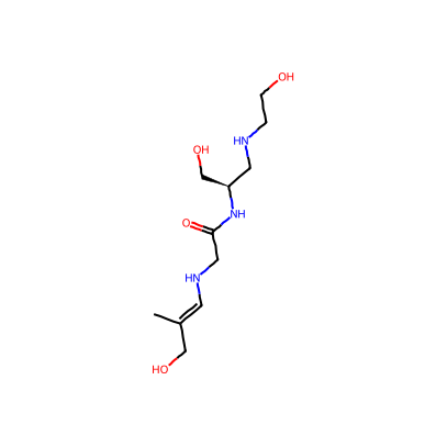 C/C(=C\NCC(=O)N[C@@H](CO)CNCCO)CO